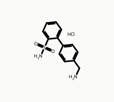 Cl.NCc1ccc(-c2ccccc2S(N)(=O)=O)cc1